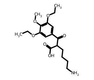 CCOc1cc(C(=O)C(CCCCN)C(=O)O)cc(OCC)c1OC